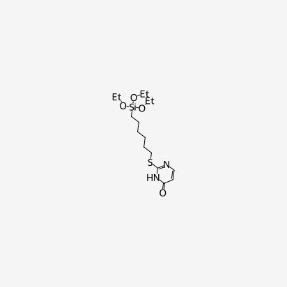 CCO[Si](CCCCCCSc1nccc(=O)[nH]1)(OCC)OCC